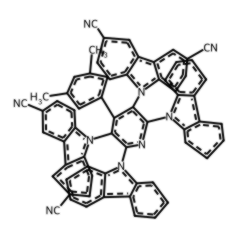 Cc1cc(C)cc(-c2c(-n3c4ccc(C#N)cc4c4cc(C#N)ccc43)c(-n3c4ccccc4c4ccccc43)nc(-n3c4ccccc4c4ccccc43)c2-n2c3ccc(C#N)cc3c3cc(C#N)ccc32)c1